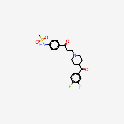 CS(=O)(=O)Nc1ccc(C(=O)CCN2CCC(C(=O)c3ccc(F)c(F)c3)CC2)cc1